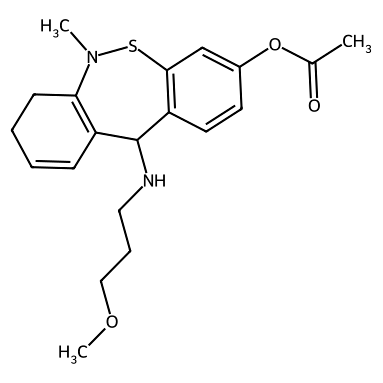 COCCCNC1C2=C(CCC=C2)N(C)Sc2cc(OC(C)=O)ccc21